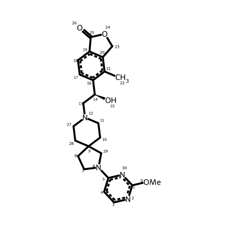 COc1nccc(N2CCC3(CCN(C[C@H](O)c4ccc5c(c4C)COC5=O)CC3)C2)n1